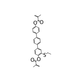 C=C(C)C(=O)Oc1ccc(-c2ccc(-c3ccc(OC(=O)C(=C)C)c(SCC)c3)cc2)cc1